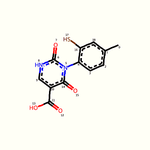 Cc1ccc(-n2c(=O)[nH]cc(C(=O)O)c2=O)c(S)c1